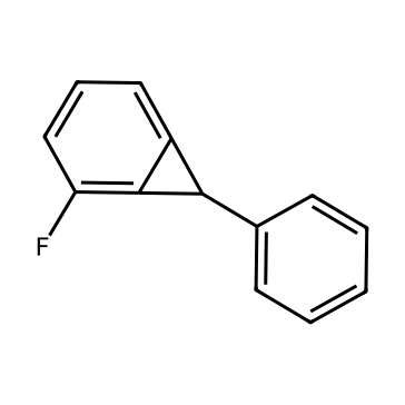 Fc1cccc2c1C2c1ccccc1